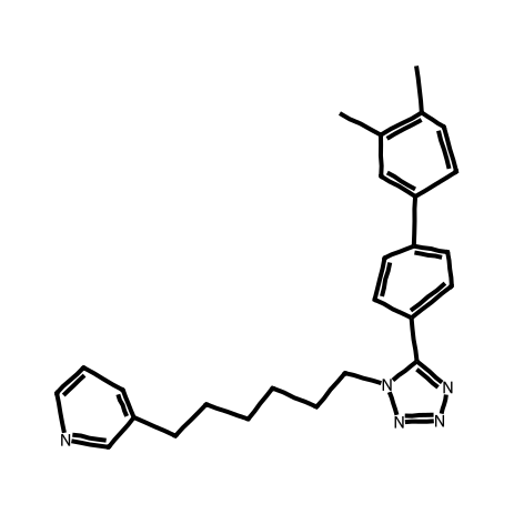 Cc1ccc(-c2ccc(-c3nnnn3CCCCCCc3cccnc3)cc2)cc1C